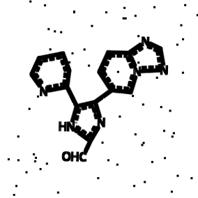 O=Cc1nc(-c2ccc3ncnn3c2)c(-c2ccccn2)[nH]1